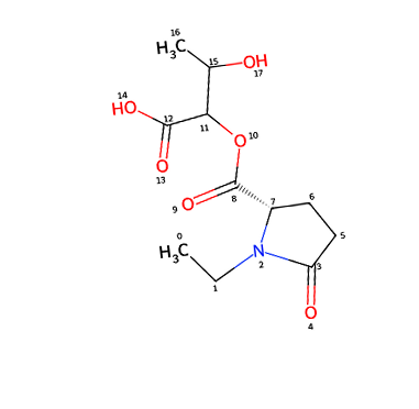 CCN1C(=O)CC[C@H]1C(=O)OC(C(=O)O)C(C)O